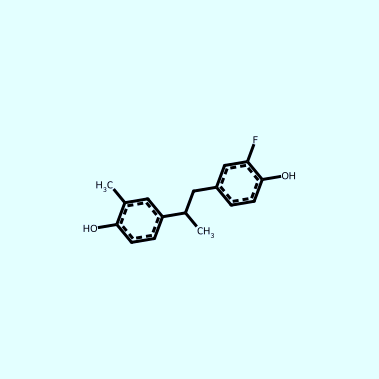 Cc1cc(C(C)Cc2ccc(O)c(F)c2)ccc1O